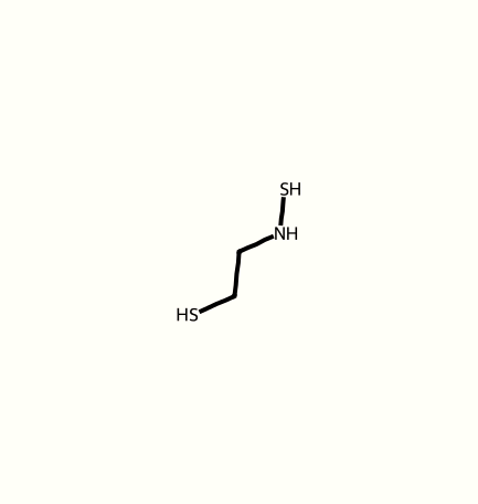 SCCNS